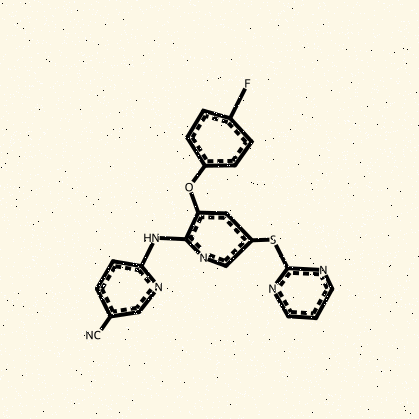 N#Cc1ccc(Nc2ncc(Sc3ncccn3)cc2Oc2ccc(F)cc2)nc1